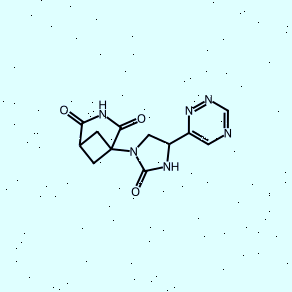 O=C1NC(=O)C2(N3CC(c4cncnn4)NC3=O)CC1C2